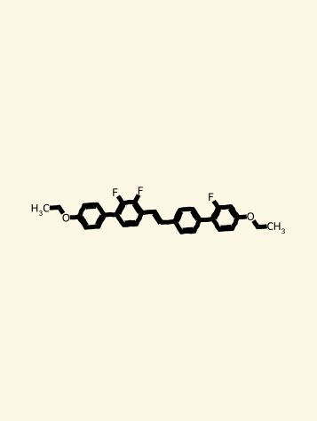 CCOc1ccc(-c2ccc(/C=C/c3ccc(-c4ccc(OCC)cc4F)cc3)c(F)c2F)cc1